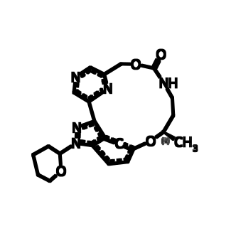 C[C@@H]1CCNC(=O)OCc2cncc(n2)-c2nn(C3CCCCO3)c3ccc(cc23)O1